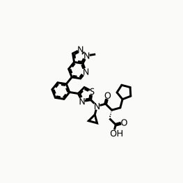 Cn1ncc2cc(-c3ccccc3-c3csc(N(C(=O)[C@@H](CC(=O)O)CC4CCCC4)C4CC4)n3)cnc21